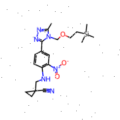 Cc1nnc(-c2ccc(NCC3(C#N)CC3)c([N+](=O)[O-])c2)n1COCC[Si](C)(C)C